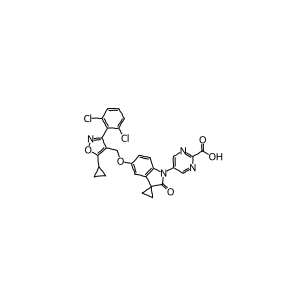 O=C(O)c1ncc(N2C(=O)C3(CC3)c3cc(OCc4c(-c5c(Cl)cccc5Cl)noc4C4CC4)ccc32)cn1